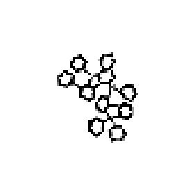 c1ccc(-c2cccc3c4c(N(c5ccccc5)c5cccc6c5-c5ccccc5C6(c5ccccc5)c5ccccc5)cc5ccccc5c4n(-c4ccccc4)c23)cc1